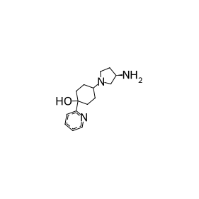 N[C@@H]1CCN(C2CCC(O)(c3ccccn3)CC2)C1